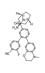 CN1CCOc2cc(-c3ccc(C(=O)N4[C@@H]5CC[C@H]4C[C@H](N)C5)cc3-c3ccc(C#N)c(F)c3)ccc21